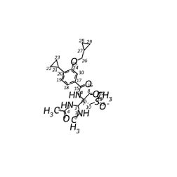 CNC(NC(C)=O)[C@@](C=O)(C[S+](C)[O-])NC(=O)c1ccc(C2CC2)c(OCC2CC2)c1